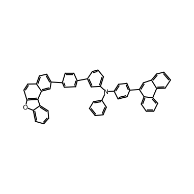 c1ccc(N(c2ccc(-c3cc4ccccc4c4ccccc34)cc2)c2cccc(-c3ccc(-c4ccc5ccc6oc7ccccc7c6c5c4)cc3)c2)cc1